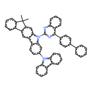 CC1(C)c2ccccc2-c2cc3c4ccc(-n5c6ccccc6c6ccccc65)cc4n(-c4nc(-c5ccc(-c6ccccc6)cc5)c5ccccc5n4)c3cc21